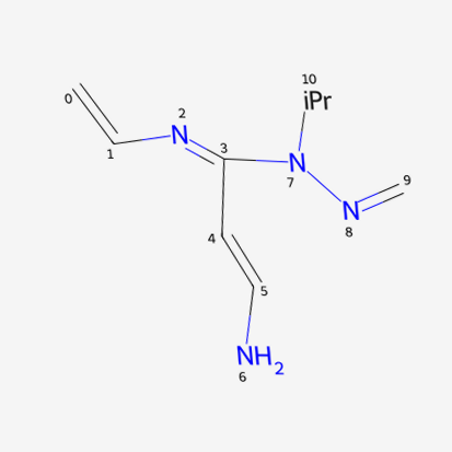 C=C/N=C(\C=C\N)N(N=C)C(C)C